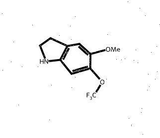 COc1cc2c(cc1OC(F)(F)F)NCC2